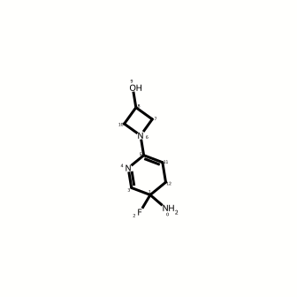 NC1(F)C=NC(N2CC(O)C2)=CC1